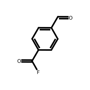 O=Cc1ccc(C(=O)F)cc1